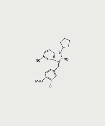 COc1ccc(Cn2c(=O)n(C3CCCC3)c3ccc(C#N)cc32)cc1Cl